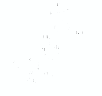 CC1=C(c2ccnc(Nc3cc(N)cc(C(F)(F)F)c3)n2)SC(C=O)N1C